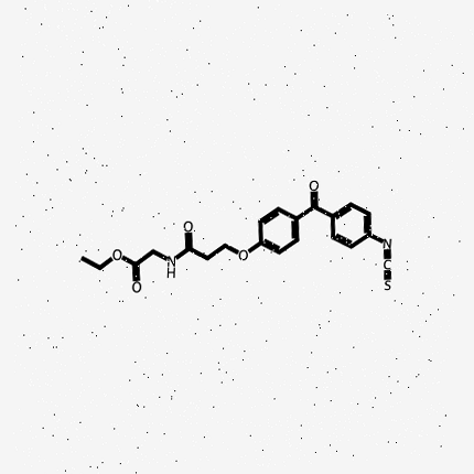 CCOC(=O)CNC(=O)CCOc1ccc(C(=O)c2ccc(N=C=S)cc2)cc1